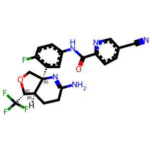 N#Cc1ccc(C(=O)Nc2ccc(F)c([C@@]34CO[C@@H](C(F)(F)F)[C@@H]3CCC(N)=N4)c2)nc1